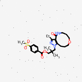 CCc1nn(CC(C)(C)COC(=O)c2ccc(S(C)(=O)=O)cc2)c2c1C(=O)NCCCOCCC2